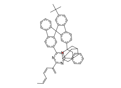 C=C(/C=C\C=C/C)c1nc(-c2ccccc2)nc(-c2ccc3c(c2)C2(c4ccccc4-3)c3cc(C(C)(C)C)ccc3-c3ccc(C45CC6CC(CC(C6)C4)C5)cc32)n1